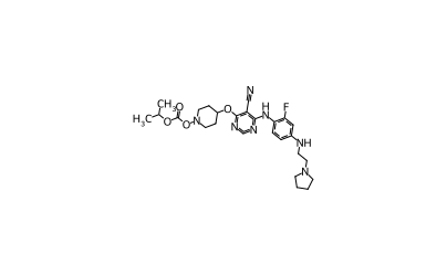 CC(C)OC(=O)ON1CCC(Oc2ncnc(Nc3ccc(NCCN4CCCC4)cc3F)c2C#N)CC1